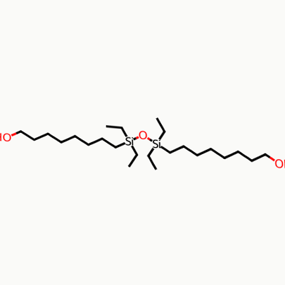 CC[Si](CC)(CCCCCCCCO)O[Si](CC)(CC)CCCCCCCCO